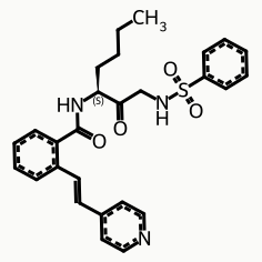 CCCC[C@H](NC(=O)c1ccccc1C=Cc1ccncc1)C(=O)CNS(=O)(=O)c1ccccc1